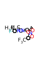 Cc1cc(N2CCN([C@@H]3CC[C@@](C(=O)N4COc5ccc(C(F)(F)F)cc5C4)(C4CC4)OC3)CC2C)ccc1F